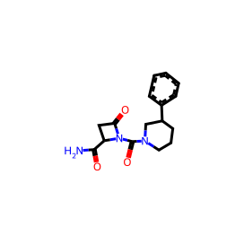 NC(=O)C1CC(=O)N1C(=O)N1CCCC(c2ccccc2)C1